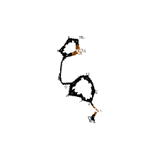 CSc1ccc(Cc2cccs2)cc1